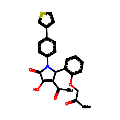 CNC(=O)COc1ccccc1C1C(C(=O)C(C)(C)C)=C(O)C(=O)N1c1ccc(-c2ccsc2)cc1